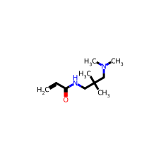 C=CC(=O)NCC(C)(C)CN(C)C